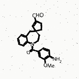 COc1cc(C(=O)N2CC[C@]3(C=C(C=O)CC3)Cc3ccccc32)ccc1N